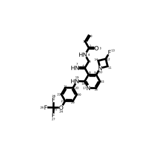 C=CC(=O)NCC(=N)c1c(N2CC(F)C2)ccnc1Nc1ccc(OC(F)(F)F)cc1